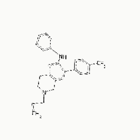 C=CCN1CCc2cc(Nc3ccccc3)c(-c3ccc(C(F)(F)F)cc3)cc2C1